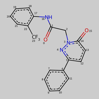 O=C(Cn1nc(-c2ccccc2)ccc1=O)Nc1ccccc1C(F)(F)F